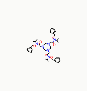 CC(C)N(OCc1ccccc1)C(=O)CN1CCN(CC(=O)N(OCc2ccccc2)C(C)C)CCN(CC(=O)N(OCc2ccccc2)C(C)C)CC1